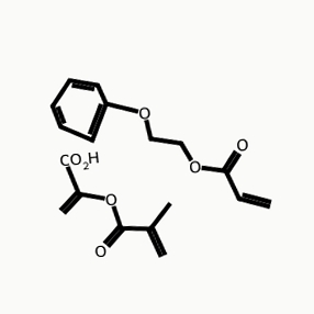 C=C(C)C(=O)OC(=C)C(=O)O.C=CC(=O)OCCOc1ccccc1